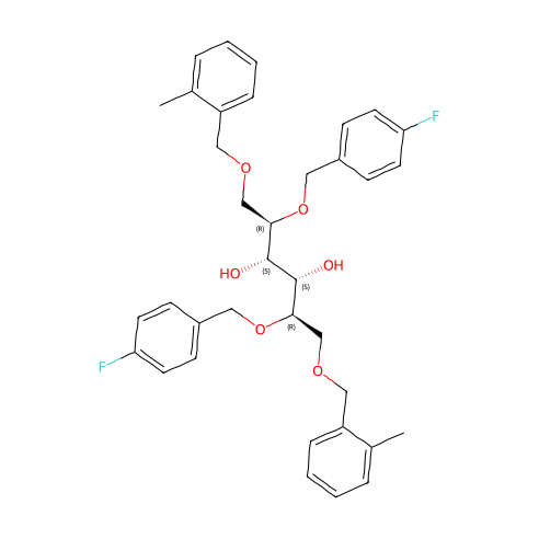 Cc1ccccc1COC[C@@H](OCc1ccc(F)cc1)[C@@H](O)[C@H](O)[C@@H](COCc1ccccc1C)OCc1ccc(F)cc1